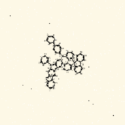 c1ccc(-c2ccc(N(c3ccc4c5cc6c(cc5n(-c5ccccc5)c4c3)sc3ccccc36)c3cccc4c3-c3ccccc3C43c4ccccc4-c4ccccc43)cc2)cc1